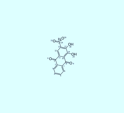 O=C1c2ccccc2C(=O)c2c1cc([SH](=O)=O)c(O)c2O